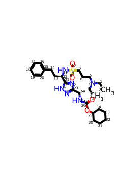 CCN(CC)CCCS(=O)(=O)N[C@H](CCc1ccccc1)c1nc(CNC(=O)OC2CCCCC2)n[nH]1